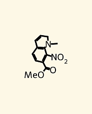 COC(=O)c1ccc2c(c1[N+](=O)[O-])N(C)CC=C2